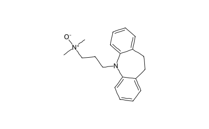 C[N+](C)([O-])CCCN1c2ccccc2CCc2ccccc21